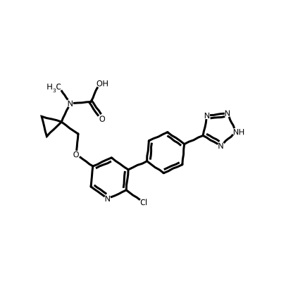 CN(C(=O)O)C1(COc2cnc(Cl)c(-c3ccc(-c4nn[nH]n4)cc3)c2)CC1